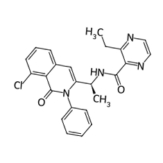 CCc1nccnc1C(=O)N[C@@H](C)c1cc2cccc(Cl)c2c(=O)n1-c1ccccc1